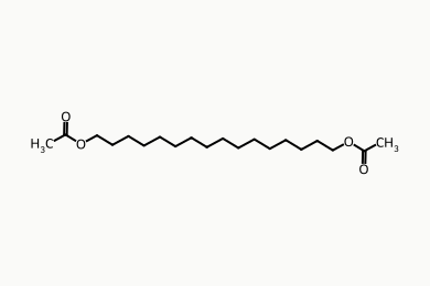 CC(=O)OCCCCCCCCCCCCCCCCOC(C)=O